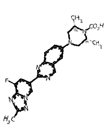 Cc1nc2c(F)cc(-c3ncc4cc(N5C[C@@H](C)N(C(=O)O)[C@@H](C)C5)ccc4n3)cn2n1